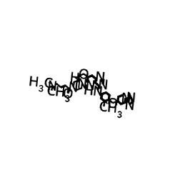 Cc1cc(Nc2ncnc3cc4c(nc23)N2CCN(C(=O)/C=C/CN(C)C)C[C@@H]2CO4)ccc1Oc1ccn2ncnc2c1